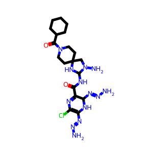 NN=NC1=C(Cl)N=C(C(=O)NC2NC3(CCN(C(=O)C4CCCCC4)CC3)CN2N)C(N=NN)N1